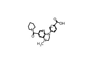 CN1CCN(c2ccc(C(=O)O)cc2)c2ncc(C(=O)N3CCCCC3)cc21